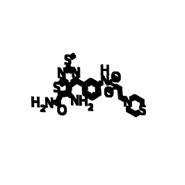 CSc1nc(-c2cccc(NS(=O)(=O)CCN3CCSCC3)c2)c2c(N)c(C(N)=O)sc2n1